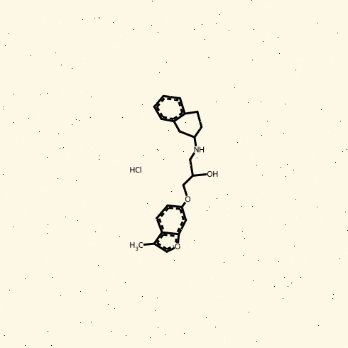 Cc1coc2cc(OCC(O)CNC3CCc4ccccc4C3)ccc12.Cl